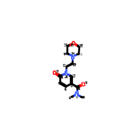 CN(C)C(=O)c1ccc(=O)n(CCN2CCOCC2)c1